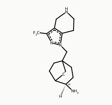 N[C@@H]1CCC2(Cn3nc(C(F)(F)F)c4c3CCNC4)CCC1CC2